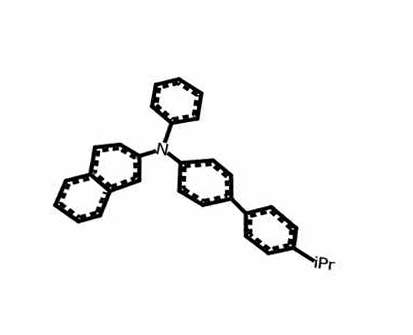 CC(C)c1ccc(-c2ccc(N(c3ccccc3)c3ccc4ccccc4c3)cc2)cc1